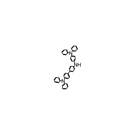 c1ccc(N(c2ccccc2)c2ccc(Nc3ccc(-c4ccc(N(c5ccccc5)c5ccccc5)cc4)cc3)cc2)cc1